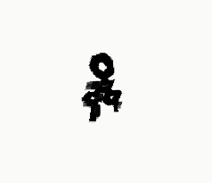 COc1nccc(-c2[nH]c(C3CCCCCC3)nc2-c2ccc(F)cc2)n1